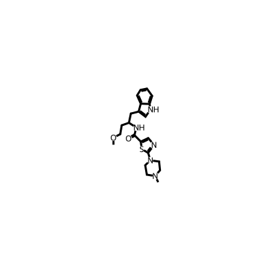 COCCC(Cc1c[nH]c2ccccc12)NC(=O)c1cnc(N2CCN(C)CC2)s1